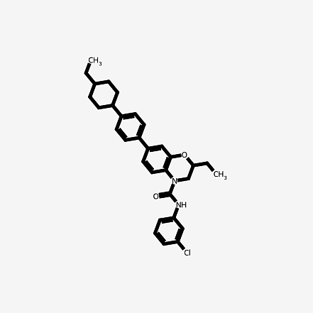 CCC1CCC(c2ccc(-c3ccc4c(c3)OC(CC)CN4C(=O)Nc3cccc(Cl)c3)cc2)CC1